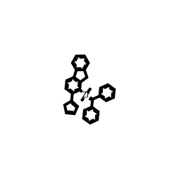 [CH3][Zr]([CH3])(=[C](c1ccccc1)c1ccccc1)[c]1c(C2=CC=CC2)ccc2c1Cc1ccccc1-2